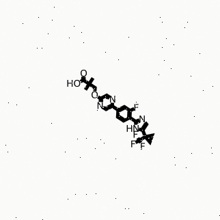 CC(C)(COc1cnc(-c2ccc(-c3ncc(C4(C(F)(F)F)CC4)[nH]3)c(F)c2)cn1)C(=O)O